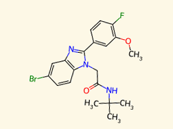 COc1cc(-c2nc3cc(Br)ccc3n2CC(=O)NC(C)(C)C)ccc1F